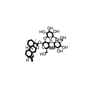 C=C1C[C@@]23CCC4[C@](C)(C(=O)O[C@@H]5O[C@H](CO)[C@@H](O)C(O[C@@H]6O[C@H](CO)[C@@H](O)[C@H](O)[C@H]6O)[C@H]5O[C@@H]5O[C@H](CO)[C@@H](O)[C@H](O)[C@H]5O)CCC[C@@]4(C)[C@@H]2CC[C@@H]1C3